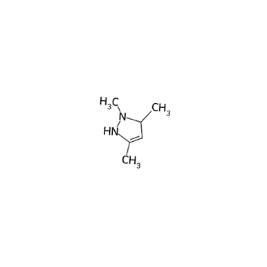 CC1=CC(C)N(C)N1